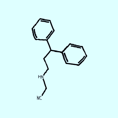 N#CCNCCC(c1ccccc1)c1ccccc1